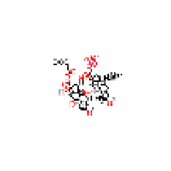 C[C@H]1C[C@@H]2[C@H]([C@@H](O)C[C@@]3(C)[C@H]2CC[C@]3(O)C(=O)COC(=O)CCC(=O)[O-])[C@@]2(C)C=CC(=O)C=C12.C[C@]12C=CC(=O)C=C1CC[C@@H]1[C@@H]2[C@@H](O)C[C@@]2(C)[C@H]1CC[C@]2(O)C(=O)COP(=O)([O-])[O-].[Na+].[Na+].[Na+]